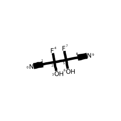 N#CC(O)(F)C(O)(F)C#N